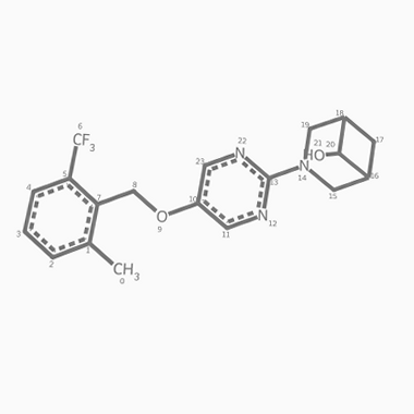 Cc1cccc(C(F)(F)F)c1COc1cnc(N2CC3CC(C2)C3O)nc1